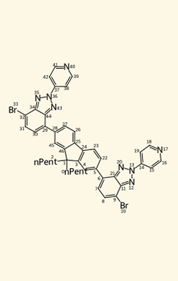 CCCCCC1(CCCCC)c2cc(-c3ccc(Br)c4nn(-c5ccncc5)nc34)ccc2-c2ccc(-c3ccc(Br)c4nn(-c5ccncc5)nc34)cc21